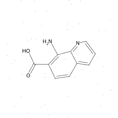 Nc1c(C(=O)O)ccc2cccnc12